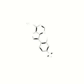 CSc1ncnc2c(-c3ccc(S(C)(=O)=O)cc3F)csc12